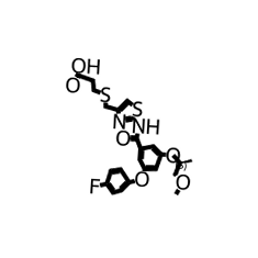 COC[C@H](C)Oc1cc(Oc2ccc(F)cc2)cc(C(=O)Nc2nc(CSCCC(=O)O)cs2)c1